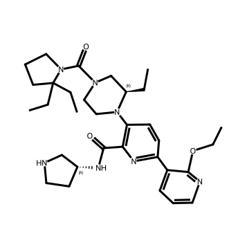 CCOc1ncccc1-c1ccc(N2CCN(C(=O)N3CCCC3(CC)CC)C[C@H]2CC)c(C(=O)N[C@@H]2CCNC2)n1